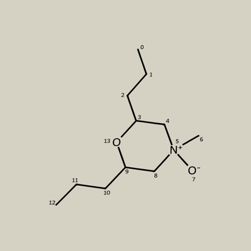 CCCC1C[N+](C)([O-])CC(CCC)O1